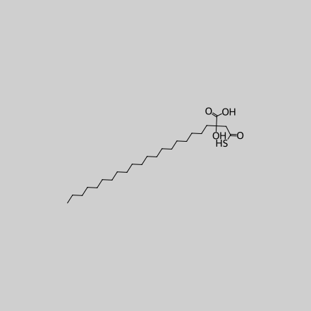 CCCCCCCCCCCCCCCCCCCCC(O)(CC(=O)S)C(=O)O